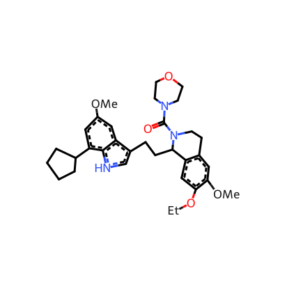 CCOc1cc2c(cc1OC)CCN(C(=O)N1CCOCC1)C2CCc1c[nH]c2c(C3CCCC3)cc(OC)cc12